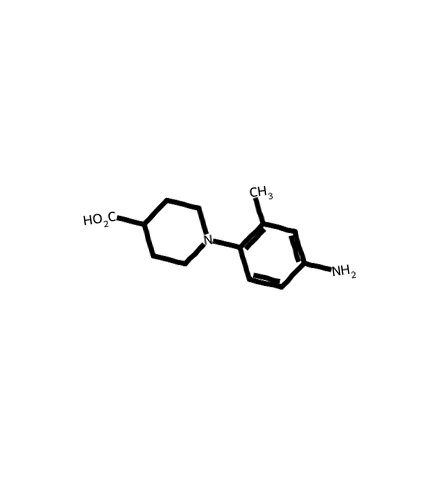 Cc1cc(N)ccc1N1CCC(C(=O)O)CC1